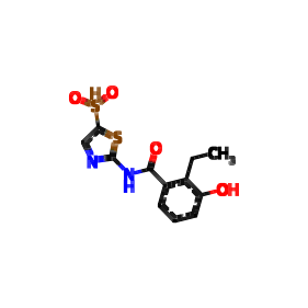 CCc1c(O)cccc1C(=O)Nc1ncc([SH](=O)=O)s1